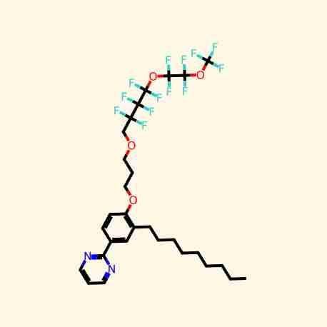 CCCCCCCCCc1cc(-c2ncccn2)ccc1OCCCOCC(F)(F)C(F)(F)C(F)(F)OC(F)(F)C(F)(F)OC(F)(F)F